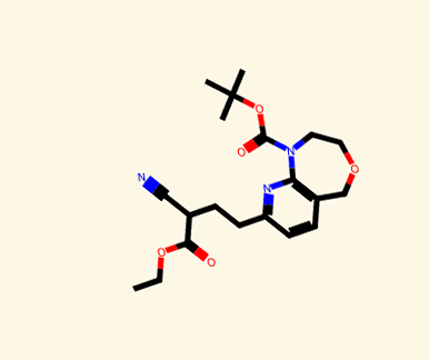 CCOC(=O)C(C#N)CCc1ccc2c(n1)N(C(=O)OC(C)(C)C)CCOC2